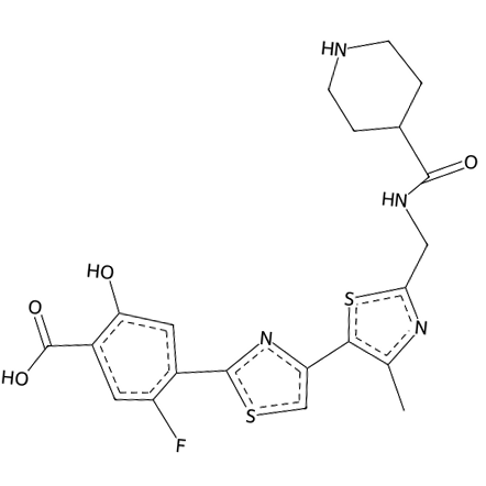 Cc1nc(CNC(=O)C2CCNCC2)sc1-c1csc(-c2cc(O)c(C(=O)O)cc2F)n1